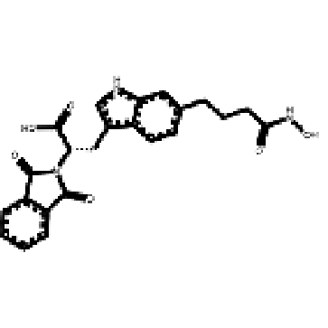 O=C(CCCc1ccc2c(C[C@@H](C(=O)O)N3C(=O)c4ccccc4C3=O)c[nH]c2c1)NO